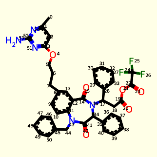 Cc1cc(OCCCc2ccc3c(c2)C(=O)N(C(CC(=O)OC(=O)C(F)(F)F)c2ccccc2)C(c2ccccc2)C(=O)N3Cc2ccccc2)nc(N)n1